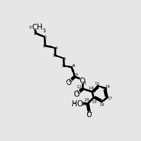 CCCCCCCCCC(=O)OC(=O)c1ccccc1C(=O)O